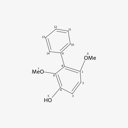 COc1ccc(O)c(OC)c1-c1ccccc1